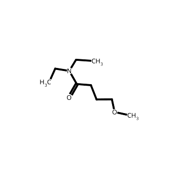 CCN(CC)C(=O)CCCOC